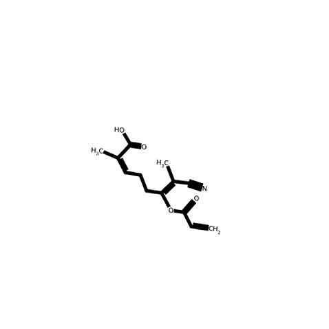 C=CC(=O)OC(CCC=C(C)C(=O)O)=C(C)C#N